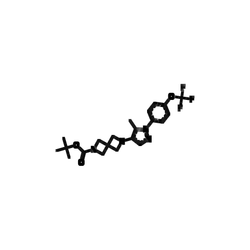 Cc1c(N2CC3(CN(C(=O)OC(C)(C)C)C3)C2)cnn1-c1ccc(OC(F)(F)F)cc1